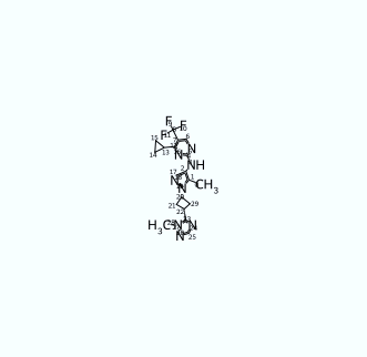 Cc1c(Nc2ncc(C(F)(F)F)c(C3CC3)n2)cnn1[C@H]1C[C@H](c2ncnn2C)C1